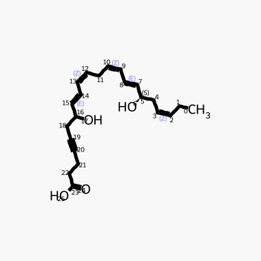 CC/C=C\C[C@H](O)/C=C/C=C\C/C=C\C=C\C(O)CC#CCCC(=O)O